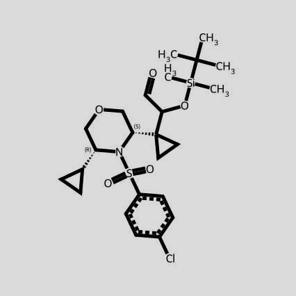 CC(C)(C)[Si](C)(C)OC(C=O)C1([C@H]2COC[C@@H](C3CC3)N2S(=O)(=O)c2ccc(Cl)cc2)CC1